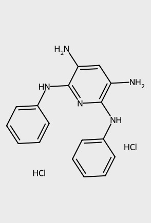 Cl.Cl.Nc1cc(N)c(Nc2ccccc2)nc1Nc1ccccc1